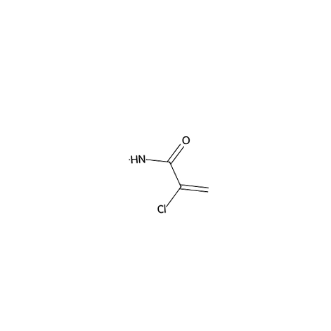 C=C(Cl)C([NH])=O